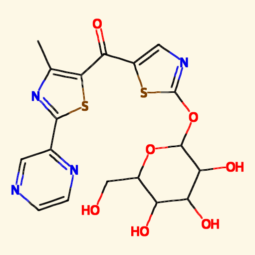 Cc1nc(-c2cnccn2)sc1C(=O)c1cnc(OC2OC(CO)C(O)C(O)C2O)s1